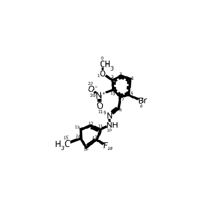 COc1ccc(Br)c(/C=N/NC2=CCC(C)C=C2F)c1[N+](=O)[O-]